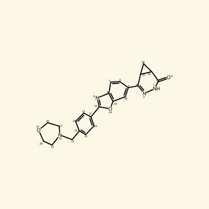 O=C1NN=C(c2ccc3nc(-c4ccc(CN5CCOCC5)cc4)oc3c2)C2CC12